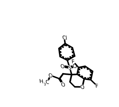 COC(=O)CC1(S(=O)(=O)c2ccc(Cl)cc2)CCOc2c(F)ccc(F)c21